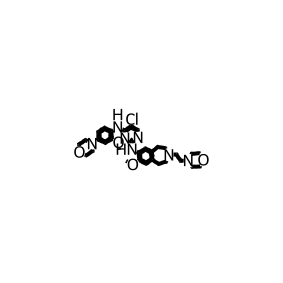 COc1cc2c(cc1Nc1ncc(Cl)c(Nc3ccc(N4CCOCC4)cc3OC)n1)CCN(CCN1CCOCC1)CC2